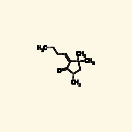 CCCC=C1C(=O)C(C)CC1(C)C